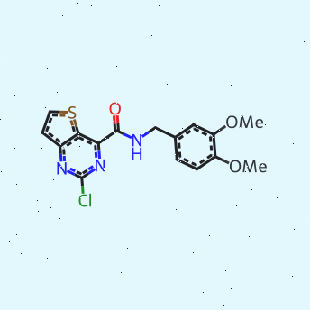 COc1ccc(CNC(=O)c2nc(Cl)nc3ccsc23)cc1OC